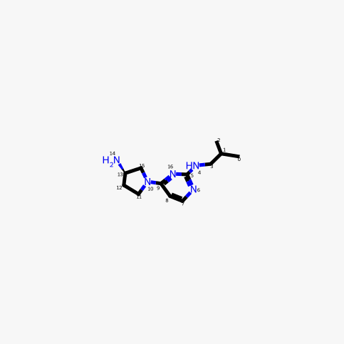 CC(C)CNc1nccc(N2CC[C@@H](N)C2)n1